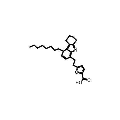 CCCCCCCCC1C=CC(CCc2ccc(C(=O)O)o2)=C2N=C3CCCCC3=C21